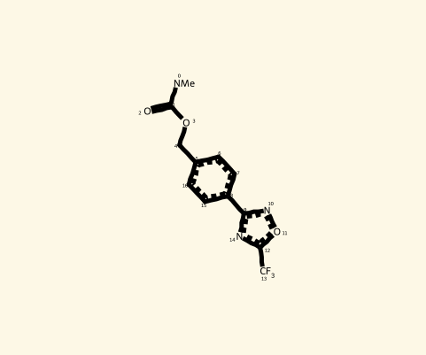 CNC(=O)OCc1ccc(-c2noc(C(F)(F)F)n2)cc1